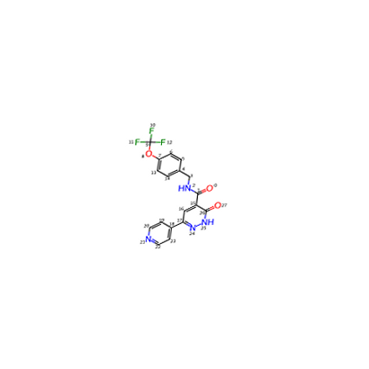 O=C(NCc1ccc(OC(F)(F)F)cc1)c1cc(-c2ccncc2)n[nH]c1=O